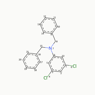 Clc1[c]c(Cl)cc(N(Cc2ccccc2)Cc2ccccc2)c1